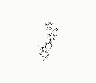 Cn1c(=O)n(CC(C)(C)C)c2ccc(N3CC4CCC3CN4C(=O)C3C=NSC3)nc21